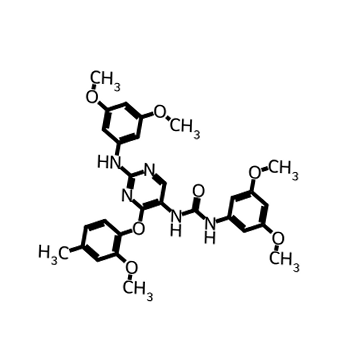 COc1cc(NC(=O)Nc2cnc(Nc3cc(OC)cc(OC)c3)nc2Oc2ccc(C)cc2OC)cc(OC)c1